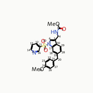 COC(=O)NCc1cn(S(=O)(=O)c2cccnc2)c2cc(Cc3ccc(OC)cc3)ccc12